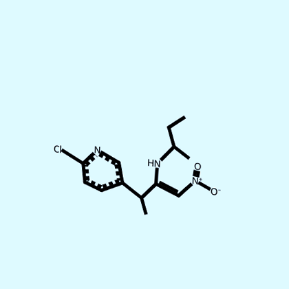 CCC(C)N/C(=C\[N+](=O)[O-])C(C)c1ccc(Cl)nc1